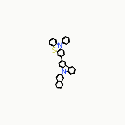 c1ccc(N2c3ccccc3Sc3cc(-c4ccc5c(c4)c4ccccc4n5-c4ccc5ccccc5c4)ccc32)cc1